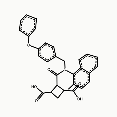 Cc1ccc2ccccc2c1N(Cc1ccc(Oc2ccccc2)cc1)C(=O)C1C(C(=O)O)CC1C(=O)O